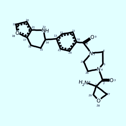 NC1(C(=O)N2CCN(C(=O)c3ccc(C4CCc5occc5N4)cc3)CC2)COC1